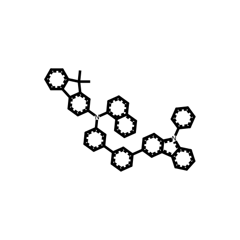 CC1(C)c2ccccc2-c2ccc(N(c3cccc(-c4cccc(-c5ccc6c(c5)c5ccccc5n6-c5ccccc5)c4)c3)c3cccc4ccccc34)cc21